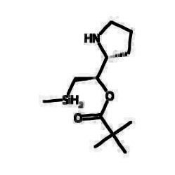 C[SiH2]C[C@H](OC(=O)C(C)(C)C)[C@H]1CCCN1